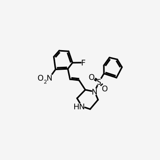 O=[N+]([O-])c1cccc(F)c1/C=C/C1CNCCN1S(=O)(=O)c1ccccc1